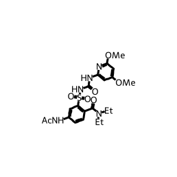 CCN(CC)C(=O)c1ccc(NC(C)=O)cc1S(=O)(=O)NC(=O)Nc1cc(OC)cc(OC)n1